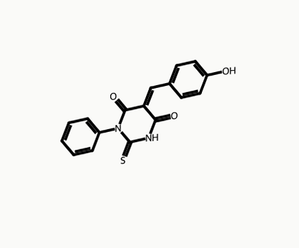 O=C1NC(=S)N(c2ccccc2)C(=O)C1=Cc1ccc(O)cc1